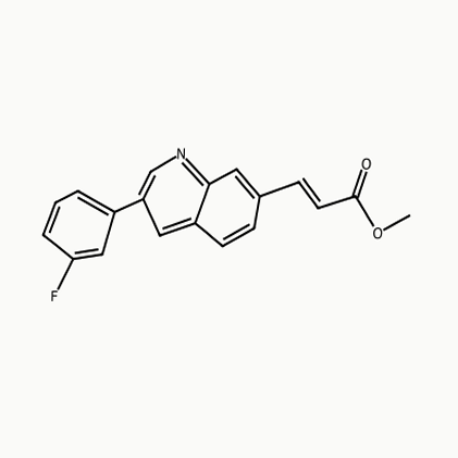 COC(=O)C=Cc1ccc2cc(-c3cccc(F)c3)cnc2c1